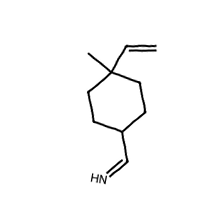 C=CC1(C)CCC(C=N)CC1